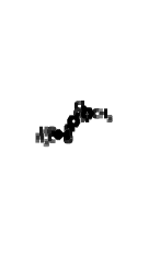 Cc1cnc(OC2CCC3(CC2)CN(C(=O)C2CC(C)(O)C2)C3)c(Cl)c1